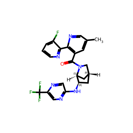 Cc1cnc(-c2ncccc2F)c(C(=O)N2C[C@@H]3C[C@@H](Nc4cnc(C(F)(F)F)cn4)[C@@H]2C3)c1